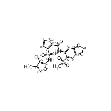 Cc1noc(NS(=O)(=O)c2ccsc2C(=O)Nc2cc3c(cc2S(C)(=O)=O)OCO3)c1Cl